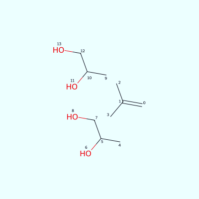 C=C(C)C.CC(O)CO.CC(O)CO